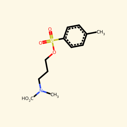 Cc1ccc(S(=O)(=O)OCCCN(C)C(=O)O)cc1